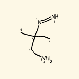 CC(C)(CN)N=N